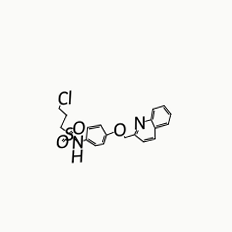 O=S(=O)(CCCCl)Nc1ccc(OCc2ccc3ccccc3n2)cc1